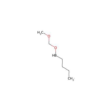 [CH2]CCCBOCOC